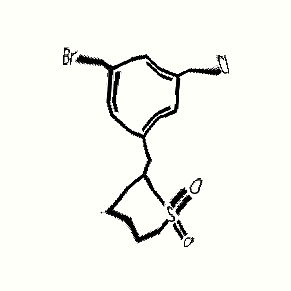 O=S1(=O)C[CH]C1c1cc(Cl)cc(Br)c1